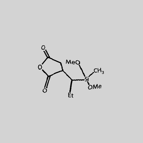 CCC(C1CC(=O)OC1=O)[Si](C)(OC)OC